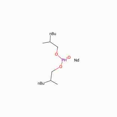 CCCCC(C)CO[PH](=O)OCC(C)CCCC.[Nd]